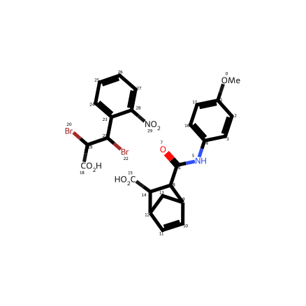 COc1ccc(NC(=O)C2C3C=CC(C3)C2C(=O)O)cc1.O=C(O)C(Br)C(Br)c1ccccc1[N+](=O)[O-]